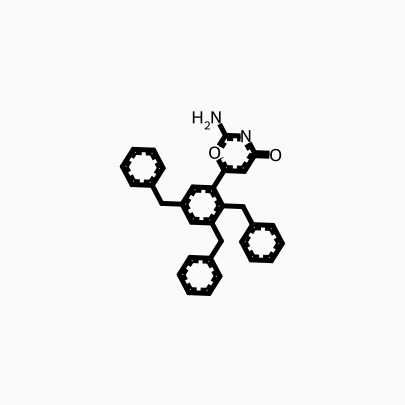 Nc1nc(=O)cc(-c2cc(Cc3ccccc3)cc(Cc3ccccc3)c2Cc2ccccc2)o1